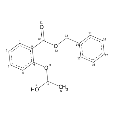 CC(O)Oc1ccccc1C(=O)OCc1ccccc1